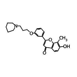 Cc1c(O)ccc2c(=O)cc(-c3cccc(OCCCN4CCCCC4)c3)oc12